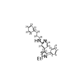 CCc1nc(-c2cccc(C)c2)c(-c2ccnc(NCCCc3ccccc3)c2)s1